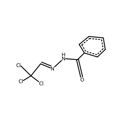 O=C(NN=CC(Cl)(Cl)Cl)c1ccccc1